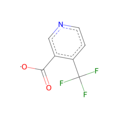 [O]C(=O)c1cnccc1C(F)(F)F